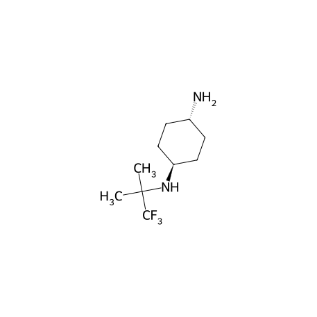 CC(C)(N[C@H]1CC[C@H](N)CC1)C(F)(F)F